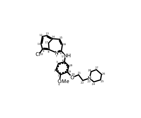 COc1ccc(NC2=NC3=C(Cl)C=CC=C(C=C2)C3)cc1OCCN1CCCCC1